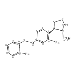 O=C(O)[C@H]1NCC[C@@H]1c1ccc(OCc2ccccc2F)cc1F